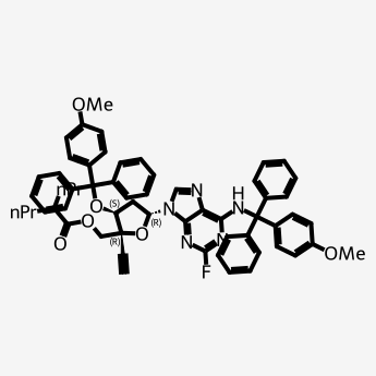 C#C[C@]1(COC(=O)C(CCC)CCC)O[C@@H](n2cnc3c(NC(c4ccccc4)(c4ccccc4)c4ccc(OC)cc4)nc(F)nc32)C[C@@H]1OC(c1ccccc1)(c1ccccc1)c1ccc(OC)cc1